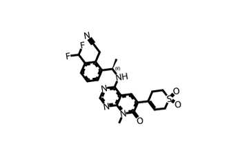 C[C@@H](Nc1ncnc2c1cc(C1=CCS(=O)(=O)CC1)c(=O)n2C)c1cccc(C(F)F)c1CC#N